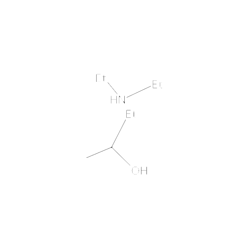 CCC(C)O.CCNCC